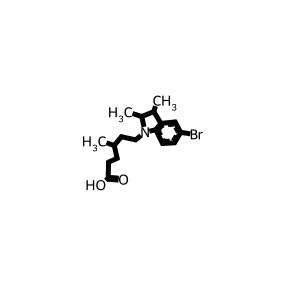 CC(CCC(=O)O)CCN1c2ccc(Br)cc2C(C)C1C